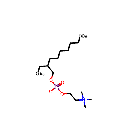 CCCCCCCCCCCCCCCCC(COC(C)=O)COP(=O)([O-])OCC[N+](C)(C)C